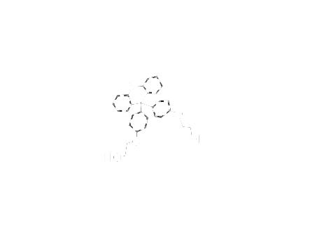 OCCOc1ccc(C2(c3ccc(OCCO)cc3)c3ccccc3Sc3ccccc32)cc1